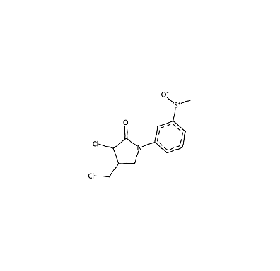 C[S+]([O-])c1cccc(N2CC(CCl)C(Cl)C2=O)c1